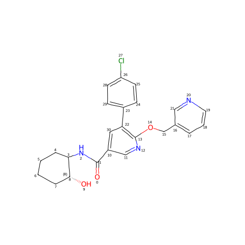 O=C(NC1CCCC[C@H]1O)c1cnc(OCc2cccnc2)c(-c2ccc(Cl)cc2)c1